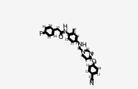 Cc1cc(NCN2C=CC(Oc3ccc(C#N)cc3)=NC2)ccc1NC(=O)Cc1ccc(F)cc1